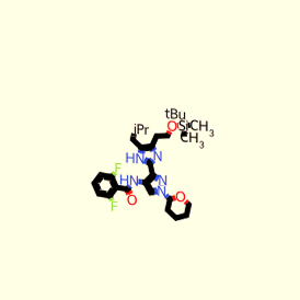 CC(C)Cc1[nH]c(-c2nn(C3CCCCO3)cc2NC(=O)c2c(F)cccc2F)nc1CCO[Si](C)(C)C(C)(C)C